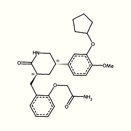 COc1ccc([C@H]2CNC(=O)[C@H](Cc3ccccc3OCC(N)=O)C2)cc1OC1CCCC1